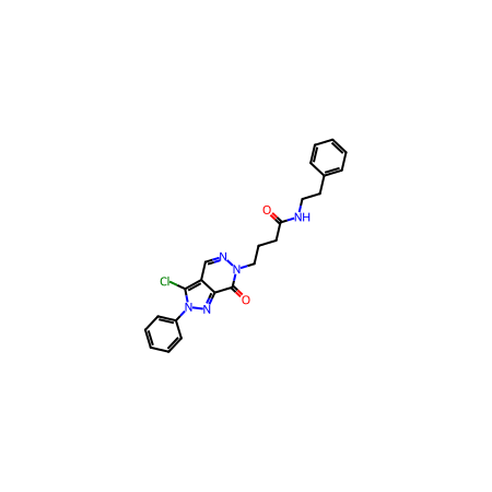 O=C(CCCn1ncc2c(Cl)n(-c3ccccc3)nc2c1=O)NCCc1ccccc1